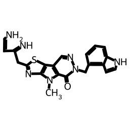 Cn1c2nc(CC(=N)/C=C\N)sc2c2cnn(Cc3cccc4[nH]ccc34)c(=O)c21